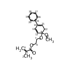 C=C(C)C(=O)OCCOC1(OC)C=CC(c2ccccc2)=CC1